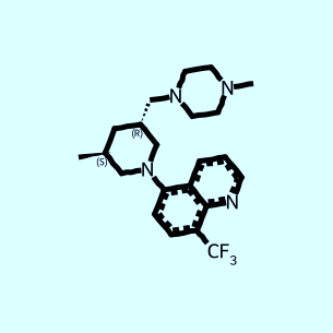 C[C@H]1C[C@H](CN2CCN(C)CC2)CN(c2ccc(C(F)(F)F)c3ncccc23)C1